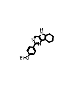 CCOc1ccc(-c2ncc3[nH]c4c(c3n2)CCCC4)cc1